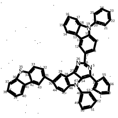 c1ccc(-c2nc(-c3ccc4c(c3)c3ccccc3n4-c3ccccc3)nc3c4cc(-c5ccc6sc7ccccc7c6c5)ccc4n(-c4ccccc4)c23)cc1